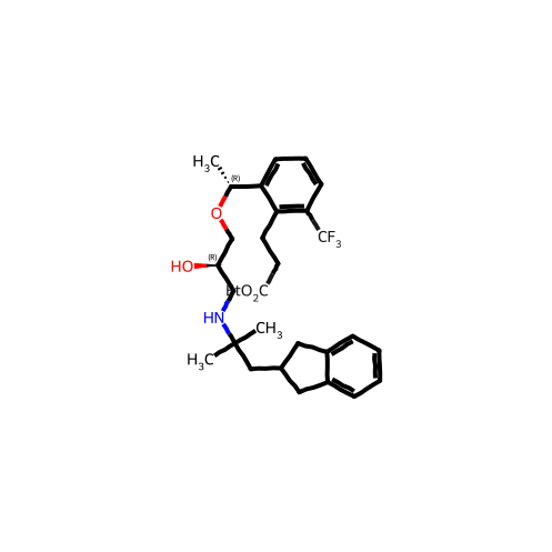 CCOC(=O)CCc1c([C@@H](C)OC[C@H](O)CNC(C)(C)CC2Cc3ccccc3C2)cccc1C(F)(F)F